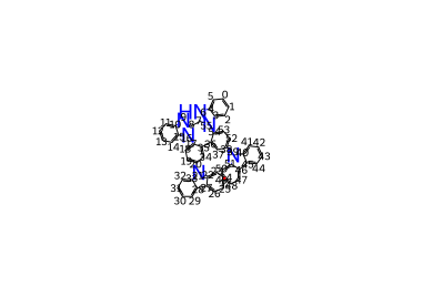 c1ccc2c(c1)NC1c3nc4ccccc4n3-c3ccc(-n4c5ccccc5c5ccccc54)cc3-c3cc(-n4c5ccccc5c5ccccc54)ccc3N21